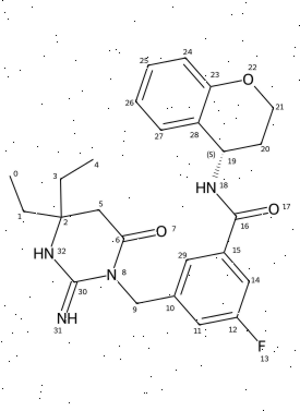 CCC1(CC)CC(=O)N(Cc2cc(F)cc(C(=O)N[C@H]3CCOc4ccccc43)c2)C(=N)N1